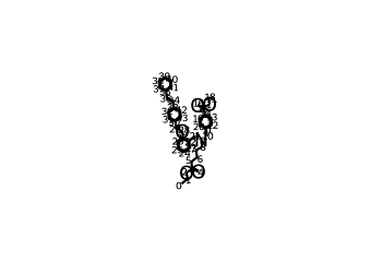 CCOC(=O)CCCCN(Cc1ccc(C(=O)OC)cc1)Cc1ccccc1OCc1ccc(/C=C/c2ccccc2)cc1